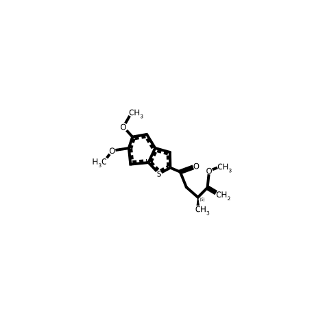 C=C(OC)[C@@H](C)CC(=O)c1cc2cc(OC)c(OC)cc2s1